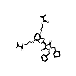 C=C(C)C(=O)OCCOc1ccc(OCCOC(=O)C(=C)C)c2c1SC(=C1C(=O)N(Cc3ccccc3)N(Cc3ccccc3)C1=O)S2